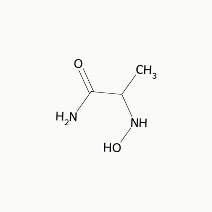 CC(NO)C(N)=O